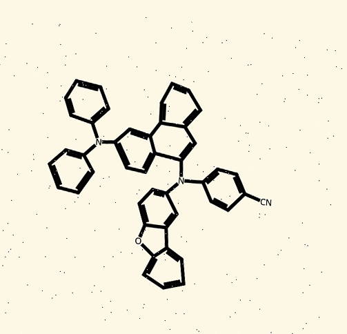 N#Cc1ccc(N(c2ccc3oc4ccccc4c3c2)c2cc3ccccc3c3cc(N(c4ccccc4)c4ccccc4)ccc23)cc1